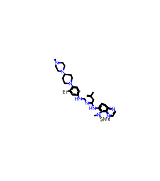 C=C(C)C/C(=N\CNc1ccc(N2CCC(N3CCN(C)CC3)CC2)c(CC)c1)Nc1ccc2nccnc2c1N(C)SC